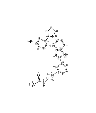 CC(=O)NC1CN(c2cccc(-c3cnc(/C=C\C(=N)N4CCC[C@@H]4c4cccc(F)c4)[nH]3)n2)C1